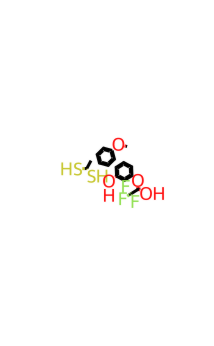 CC(S)S.COc1ccccc1.O=C(O)C(F)(F)F.Oc1ccccc1